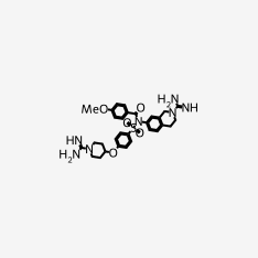 COc1ccc(C(=O)N(c2ccc3c(c2)CN(C(=N)N)CC3)S(=O)(=O)c2ccc(OC3CCN(C(=N)N)CC3)cc2)cc1